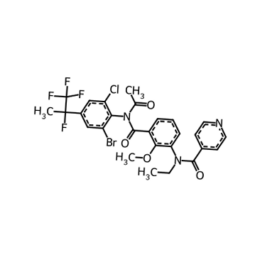 CCN(C(=O)c1ccncc1)c1cccc(C(=O)N(C(C)=O)c2c(Cl)cc(C(C)(F)C(F)(F)F)cc2Br)c1OC